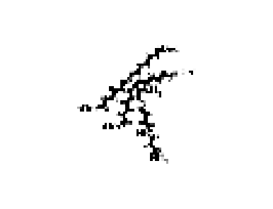 CCCCCCCCCCCCCCCCN(CCCCCCCCCCCCCCCC)C(CCCCCCCCCCCCCCCC)(CCCCCCCCCCCCCCCC)C(C)CNCCCCNCCCN